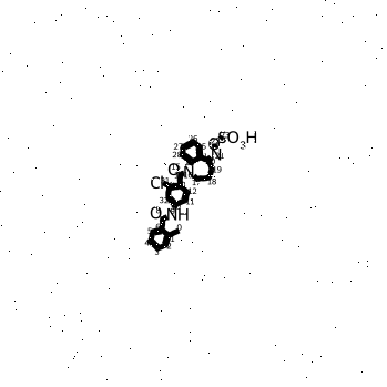 Cc1ccccc1C(=O)Nc1ccc(C(=O)N2CCC/C(=N/OS(=O)(=O)O)c3ccccc32)c(Cl)c1